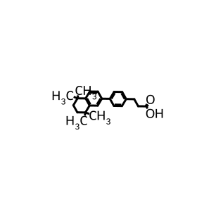 CC1(C)CCC(C)(C)c2cc(-c3ccc(CCC(=O)O)cc3)ccc21